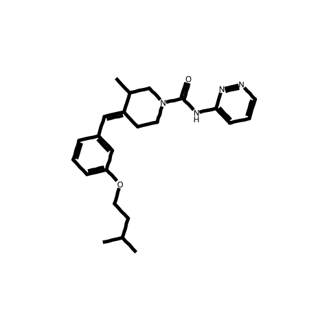 CC(C)CCOc1cccc(/C=C2\CCN(C(=O)Nc3cccnn3)CC2C)c1